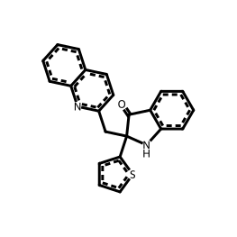 O=C1c2ccccc2NC1(Cc1ccc2ccccc2n1)c1cccs1